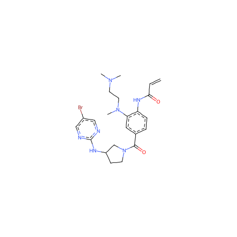 C=CC(=O)Nc1ccc(C(=O)N2CCC(Nc3ncc(Br)cn3)C2)cc1N(C)CCN(C)C